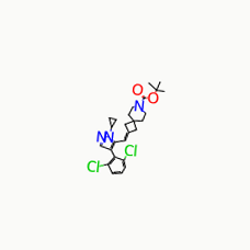 CC(C)(C)OC(=O)N1CCC2(CC1)CC(=Cc1c(-c3c(Cl)cccc3Cl)cnn1C1CC1)C2